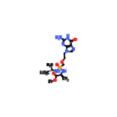 CCOC(=O)[C@H](C)NP(=O)(COCCn1cnc2c(=O)[nH]c(N)nc21)N[C@@H](C)C(=O)OC(C)C